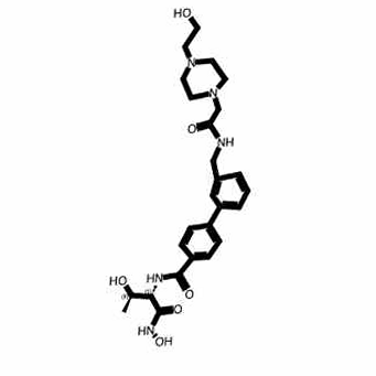 C[C@@H](O)[C@H](NC(=O)c1ccc(-c2cccc(CNC(=O)CN3CCN(CCO)CC3)c2)cc1)C(=O)NO